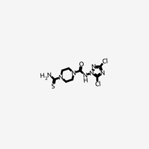 NC(=S)N1CCN(C(=O)Nn2nc(Cl)nc2Cl)CC1